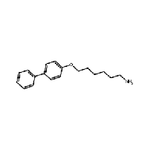 NCCCCCCOc1ccc(-c2ccccc2)cc1